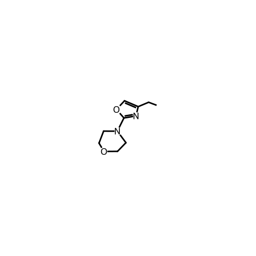 CCc1coc(N2CCOCC2)n1